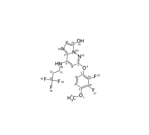 COc1ccc(Oc2cc(NCCC(F)(F)F)c3ncc(O)n3n2)c(F)c1F